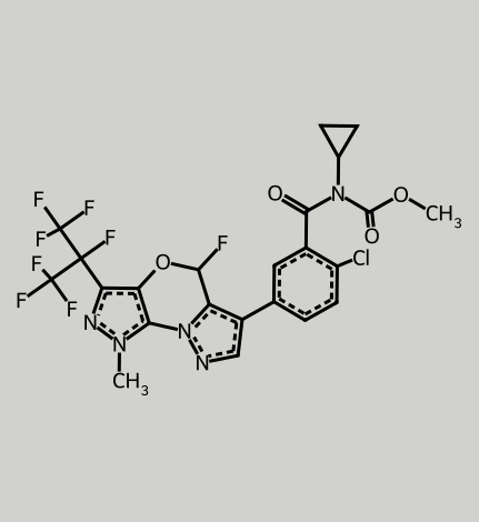 COC(=O)N(C(=O)c1cc(-c2cnn3c2C(F)Oc2c(C(F)(C(F)(F)F)C(F)(F)F)nn(C)c2-3)ccc1Cl)C1CC1